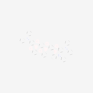 c1ccc(N(c2ccccc2)c2cc3c4c(c2)Oc2cc5c6c(c2B4c2ccccc2O3)Oc2ccccc2B6c2cc3c(cc2O5)Oc2cc(N(c4ccccc4)c4ccccc4)cc4c2B3c2ccccc2N4c2ccccc2)cc1